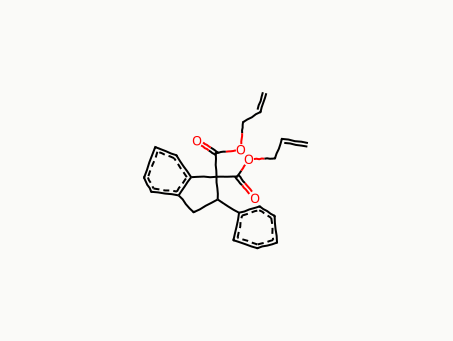 C=CCOC(=O)C1(C(=O)OCC=C)c2ccccc2CC1c1ccccc1